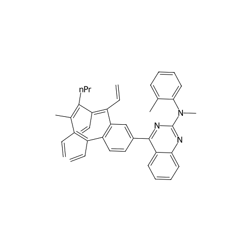 C=CC1=C(\C=C)c2ccc(-c3nc(N(C)c4ccccc4C)nc4ccccc34)cc2/C(C=C)=C(C=C)/C(CCC)=C\1C